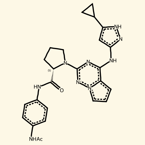 CC(=O)Nc1ccc(NC(=O)[C@@H]2CCCN2c2nc(Nc3cc(C4CC4)[nH]n3)c3cccn3n2)cc1